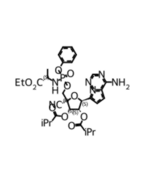 CCOC(=O)[C@H](C)NP(=O)(OC[C@@]1(C#N)O[C@@H](c2ccc3c(N)ncnn23)[C@H](OC(=O)C(C)C)[C@@H]1OC(=O)C(C)C)Oc1ccccc1